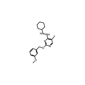 COc1cccc(COc2ncc(F)c(NNC3CCCCC3)n2)c1